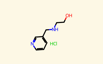 Cl.OCCNCc1cccnc1